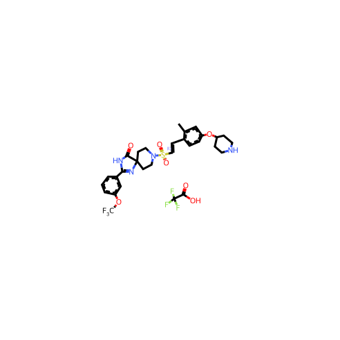 Cc1cc(OC2CCNCC2)ccc1/C=C/S(=O)(=O)N1CCC2(CC1)N=C(c1cccc(OC(F)(F)F)c1)NC2=O.O=C(O)C(F)(F)F